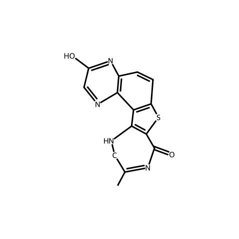 CC1=NC(=O)c2sc3ccc4nc(O)cnc4c3c2NC1